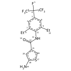 CCc1cc(C(F)(C(F)(F)F)C(F)(F)F)cc(CC)c1NC(=O)c1csc(N)c1